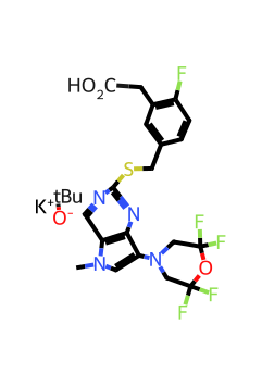 CC(C)(C)[O-].Cn1cc(N2CC(F)(F)OC(F)(F)C2)c2nc(SCc3ccc(F)c(CC(=O)O)c3)ncc21.[K+]